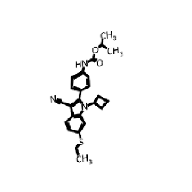 CCSc1ccc2c(C#N)c(-c3ccc(NC(=O)OC(C)C)cc3)n(C3CCC3)c2c1